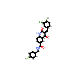 O=C1Nc2ccc(C(=O)NCc3ccc(F)cc3)cc2C(=O)/C1=C/c1ccc(F)c(Cl)c1